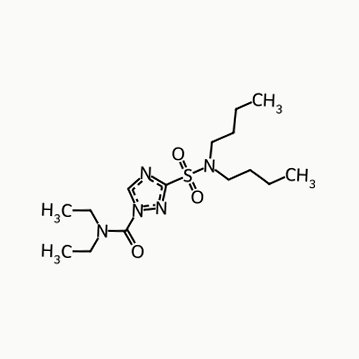 CCCCN(CCCC)S(=O)(=O)c1ncn(C(=O)N(CC)CC)n1